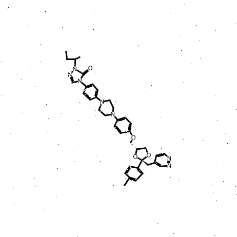 CCC(C)n1ncn(-c2ccc(N3CCN(c4ccc(OC[C@@H]5CO[C@](Cc6ccnnc6)(c6ccc(C)cc6)O5)cc4)CC3)cc2)c1=O